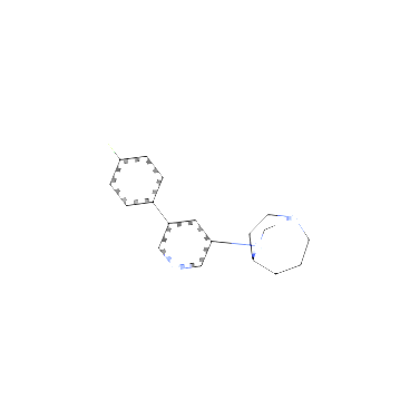 Fc1ccc(-c2cncc(N3CCN4CCCC3CC4)c2)cc1